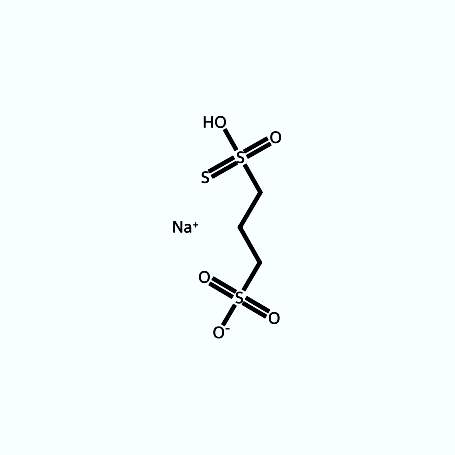 O=S(=O)([O-])CCCS(=O)(O)=S.[Na+]